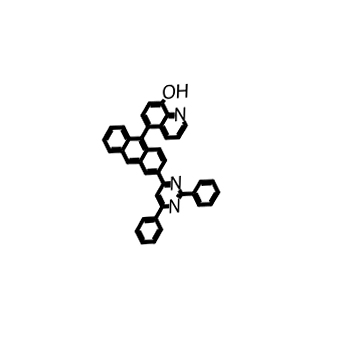 Oc1ccc(-c2c3ccccc3cc3cc(-c4cc(-c5ccccc5)nc(-c5ccccc5)n4)ccc23)c2cccnc12